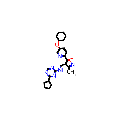 Cc1noc(-c2ccc(OC3CCCCC3)cn2)c1CNc1ncnc(C2CCCC2)n1